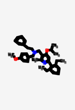 CCc1cccc(CC)c1-c1cc(OC(C)C)c(CN(CCc2ccccc2)Cc2ccc(OC)cc2)c(C)n1